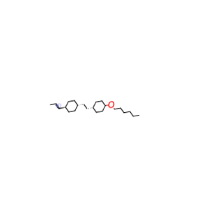 C/C=C/[C@H]1CC[C@H](CC[C@H]2CC[C@H](OCCCCCC)CC2)CC1